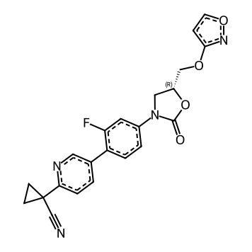 N#CC1(c2ccc(-c3ccc(N4C[C@H](COc5ccon5)OC4=O)cc3F)cn2)CC1